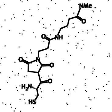 CNC(=O)CCCNC(=O)CCN1C(=O)CC(C(=O)[C@@H](N)CS)C1=O